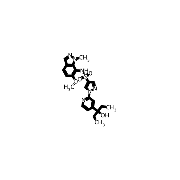 CCC(O)(CC)c1ccnc(-n2cc(S(=O)(=O)Nc3c(OC)ccc4cnn(C)c34)cn2)c1